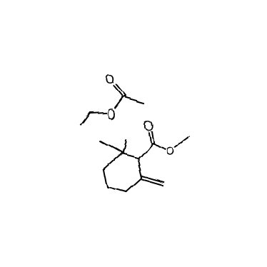 C=C1CCCC(C)(C)C1C(=O)OC.CCOC(C)=O